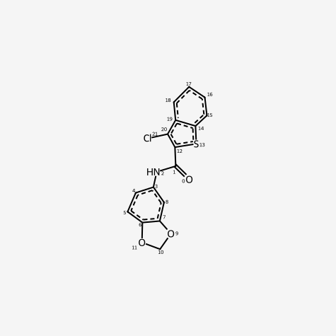 O=C(Nc1ccc2c(c1)OCO2)c1sc2ccccc2c1Cl